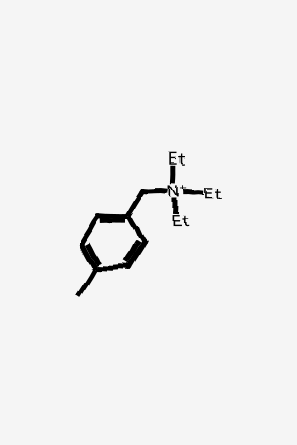 CC[N+](CC)(CC)Cc1ccc(C)cc1